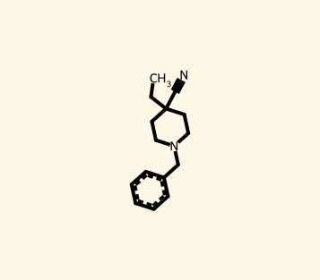 CCC1(C#N)CCN(Cc2ccccc2)CC1